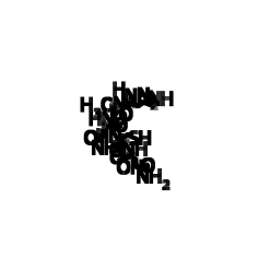 C[C@H](NC(=O)[C@@H](N)Cc1c[nH]cn1)C(=O)N[C@@H](CCC(N)=O)C(=O)N[C@@H](CS)C(=O)N[C@@H](CCC(N)=O)C(=O)O